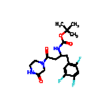 CC(C)(C)OC(=O)NC(CC(=O)N1CCNC(=O)C1)Cc1cc(F)c(F)cc1F